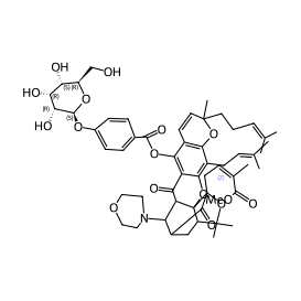 COC(=O)/C(C)=C\CC12OC(C)(C)C3CC(C1=O)C(N1CCOCC1)C1C(=O)c4c(OC(=O)c5ccc(O[C@@H]6O[C@H](CO)[C@@H](O)[C@@H](O)[C@H]6O)cc5)c5c(c(CC=C(C)C)c4OC132)OC(C)(CCC=C(C)C)C=C5